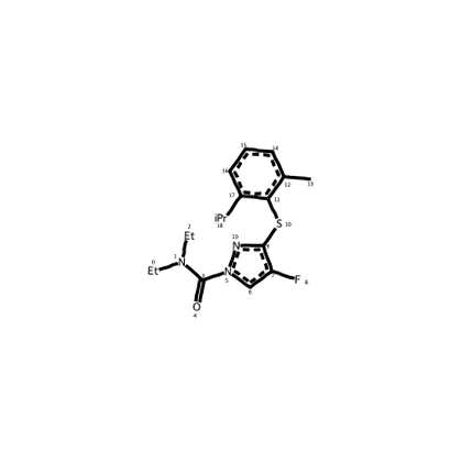 CCN(CC)C(=O)n1cc(F)c(Sc2c(C)cccc2C(C)C)n1